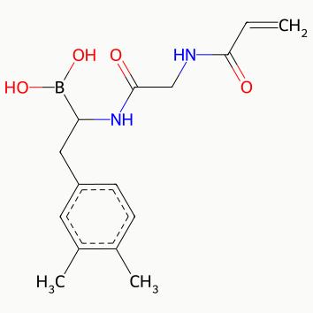 C=CC(=O)NCC(=O)NC(Cc1ccc(C)c(C)c1)B(O)O